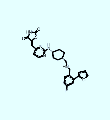 O=C1NC(=O)C(=Cc2ccnc(N[C@H]3CC[C@H](CNCc4ccc(F)cc4-c4ccco4)CC3)n2)S1